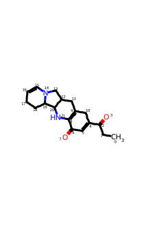 CCC(=O)C1=CC(=O)C2=C(C1)CC1CN3C=CCCC3C1N2